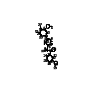 COc1cc(-c2csc(N(C)C(=O)c3cccc(OC)c3C)n2)cc(C)c1C